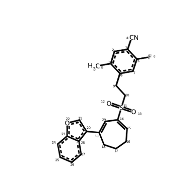 Cc1cc(C#N)c(F)cc1CCS(=O)(=O)C1=CCCCC(c2coc3ccccc23)=C1